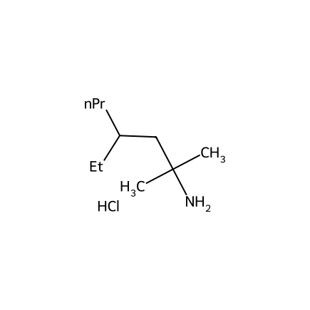 CCCC(CC)CC(C)(C)N.Cl